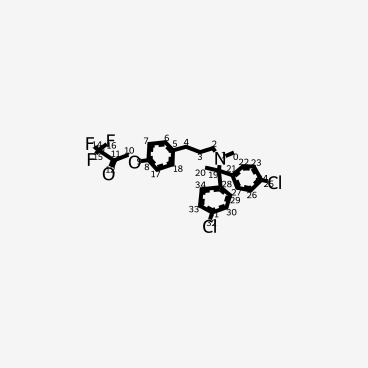 CN(CCCc1ccc(OCC(=O)C(F)(F)F)cc1)C(C)(c1ccc(Cl)cc1)c1ccc(Cl)cc1